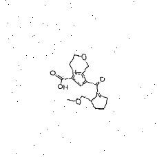 COCC1CCCN1C(=O)c1cc(C(=O)O)n2c1COCC2